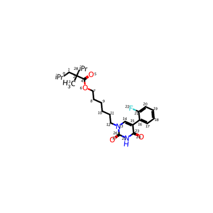 CC(C)CC(C)(C(=O)OCCCCCCn1cc(-c2ccccc2F)c(=O)[nH]c1=O)C(C)C